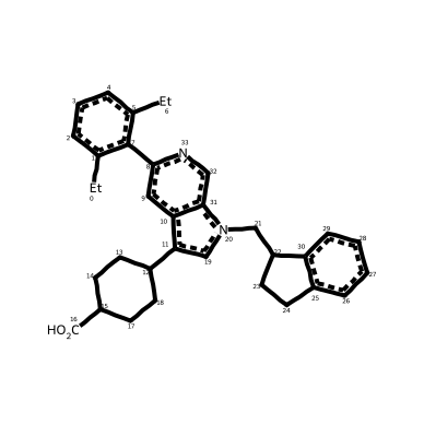 CCc1cccc(CC)c1-c1cc2c(C3CCC(C(=O)O)CC3)cn(CC3CCc4ccccc43)c2cn1